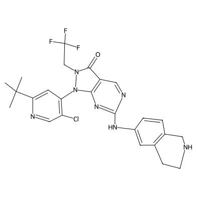 CC(C)(C)c1cc(-n2c3nc(Nc4ccc5c(c4)CCNC5)ncc3c(=O)n2CC(F)(F)F)c(Cl)cn1